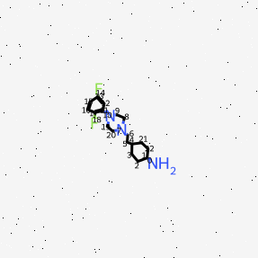 NC1CCC(CCN2CCN(c3cc(F)ccc3F)CC2)CC1